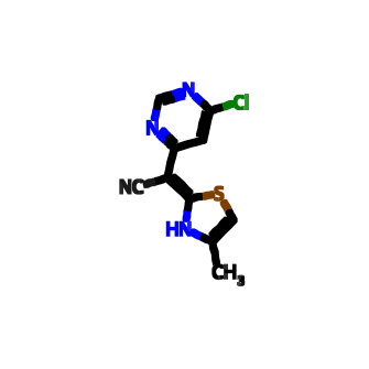 CC1=CSC(=C(C#N)c2cc(Cl)ncn2)N1